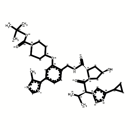 Cc1ncsc1-c1ccc(CNC(=O)[C@@H]2C[C@@H](O)CN2C(=O)[C@H](C(C)C)n2cc(C3CC3)nn2)c(OC2CCN(C(=O)OC(C)(C)C)CC2)c1